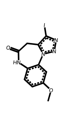 COc1ccc2c(c1)-n1nnc(I)c1CC(=O)N2